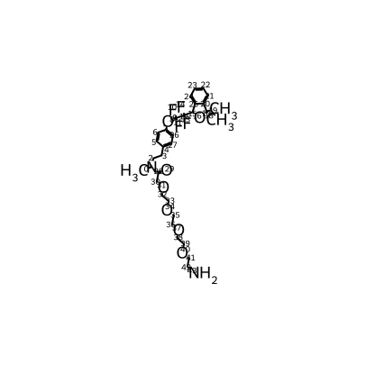 CN(CCc1ccc(OC(F)(F)C(F)(F)C2OC(C)(C)c3ccccc32)cc1)C(=O)COCCOCCOCCOCCN